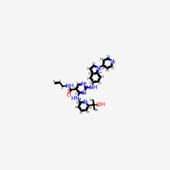 C=CCNC(=O)c1cnc(Nc2ccc3c(ccn3-c3ccncc3)c2)nc1Nc1cccc(C(C)(C)O)n1